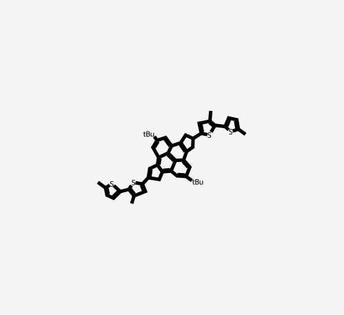 Cc1ccc(-c2sc(C3=Cc4c(c5cc(C(C)(C)C)cc6c7c(c8cc(C(C)(C)C)cc4c8c56)CC(c4cc(C)c(-c5ccc(C)s5)s4)C7)C3)cc2C)s1